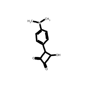 CN(C)c1ccc(C2C(=O)C(=O)C2O)cc1